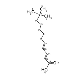 CC(C)(C)CCCCC/C=C/C=C/C(=O)O